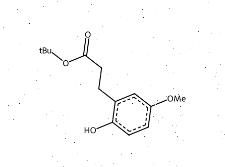 COc1ccc(O)c(CCC(=O)OC(C)(C)C)c1